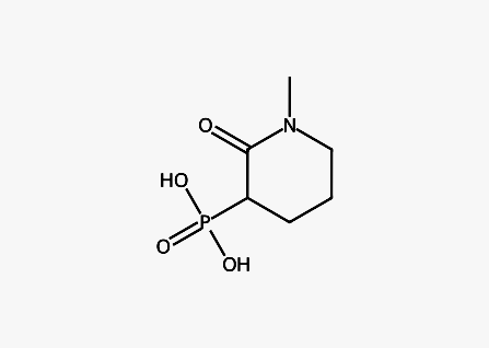 CN1CCCC(P(=O)(O)O)C1=O